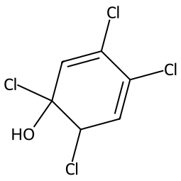 OC1(Cl)C=C(Cl)C(Cl)=CC1Cl